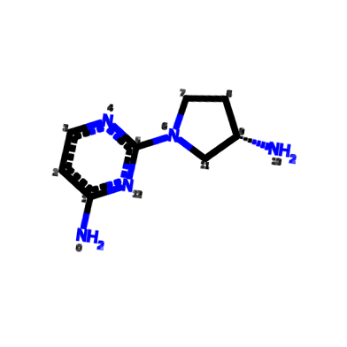 Nc1ccnc(N2CC[C@H](N)C2)n1